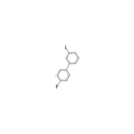 Fc1[c]cc(-c2cccc(I)c2)cc1